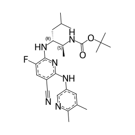 Cc1cc(Nc2nc(N[C@H](CC(C)C)[C@H](C)NC(=O)OC(C)(C)C)c(F)cc2C#N)cnc1C